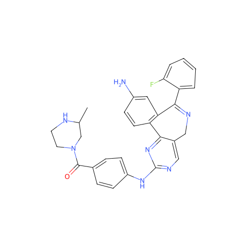 CC1CN(C(=O)c2ccc(Nc3ncc4c(n3)-c3ccc(N)cc3C(c3ccccc3F)=NC4)cc2)CCN1